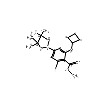 COC(=O)c1c(F)cc(B2OC(C)(C)C(C)(C)O2)cc1OC1CCC1